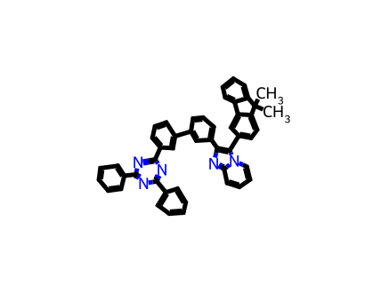 CC1(C)c2ccccc2-c2cc(-c3c(-c4cccc(-c5cccc(-c6nc(-c7ccccc7)nc(-c7ccccc7)n6)c5)c4)nc4ccccn34)ccc21